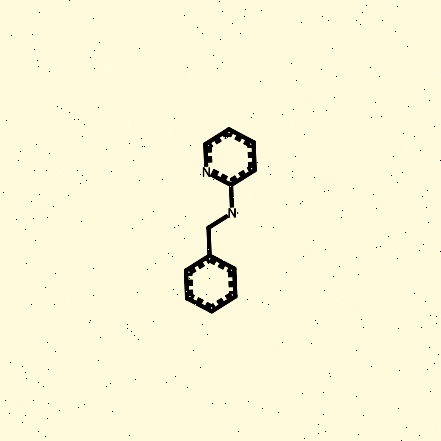 c1ccc(C[N]c2ccccn2)cc1